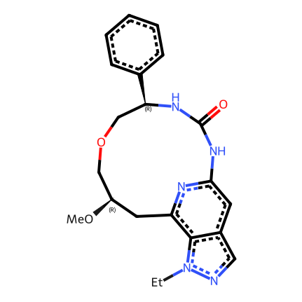 CCn1ncc2cc3nc(c21)C[C@@H](OC)COC[C@@H](c1ccccc1)NC(=O)N3